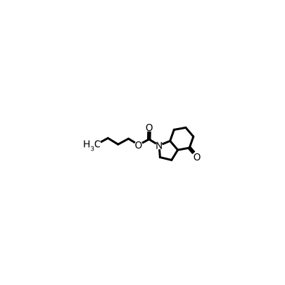 CCCCOC(=O)N1CCC2C(=O)CCCC21